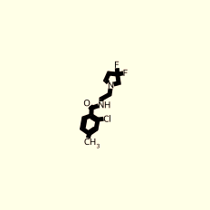 Cc1ccc(C(=O)NCCN2CCC(F)(F)C2)c(Cl)c1